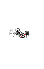 Cn1nnc(CCC2(c3ccccc3)CCc3c(sc(N)c3C(N)=O)C2=O)c1I